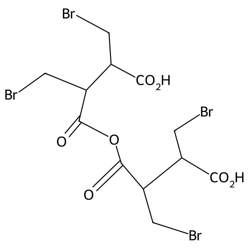 O=C(O)C(CBr)C(CBr)C(=O)OC(=O)C(CBr)C(CBr)C(=O)O